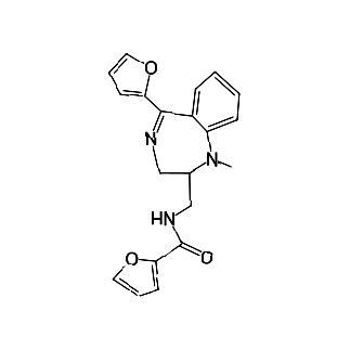 CN1c2ccccc2C(c2ccco2)=NCC1CNC(=O)c1ccco1